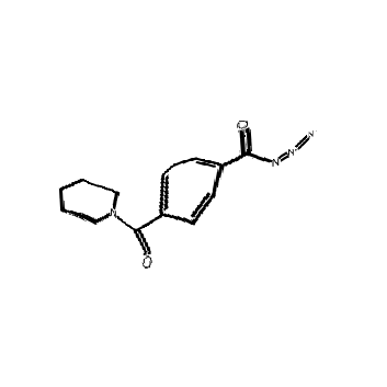 [N-]=[N+]=NC(=O)c1ccc(C(=O)N2CCCCC2)cc1